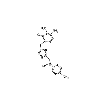 Cc1ccc([C@@H](O)Cc2noc(Cn3ncc(N)c(C)c3=O)n2)cc1